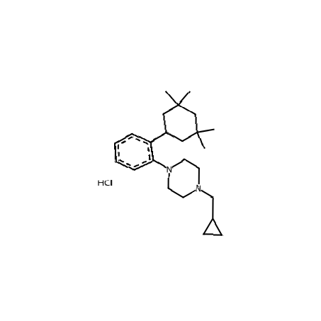 CC1(C)CC(c2ccccc2N2CCN(CC3CC3)CC2)CC(C)(C)C1.Cl